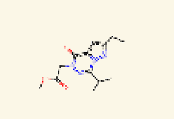 CCc1cc2c(=O)n(CC(=O)OC)nc(C(C)C)n2n1